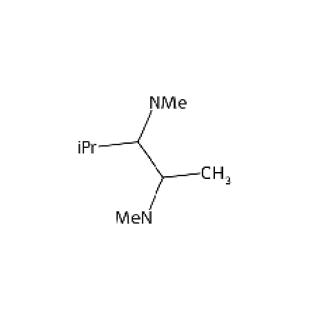 CNC(C)C(NC)C(C)C